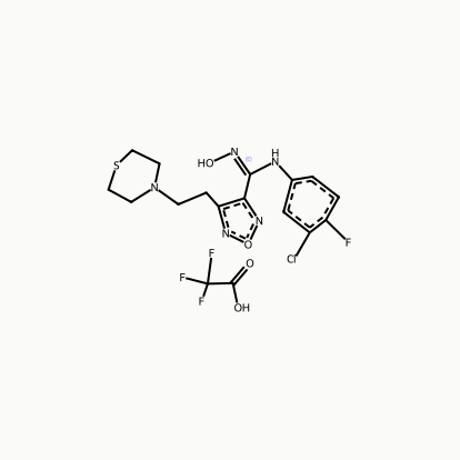 O/N=C(/Nc1ccc(F)c(Cl)c1)c1nonc1CCN1CCSCC1.O=C(O)C(F)(F)F